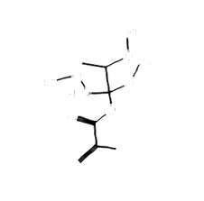 C=C(C)C(=O)OC(OC(C)C)([SiH2]OCC)C(C)OC(C)C